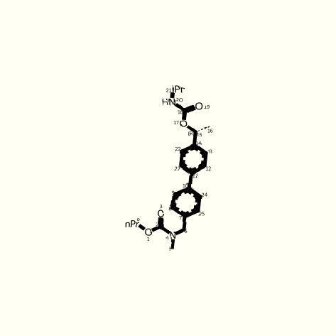 CCCOC(=O)N(C)Cc1ccc(-c2ccc([C@@H](C)OC(=O)NC(C)C)cc2)cc1